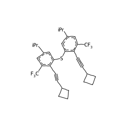 CC(C)c1cc(Sc2cc(C(C)C)cc(C(F)(F)F)c2C#CC2CCC2)c(C#CC2CCC2)c(C(F)(F)F)c1